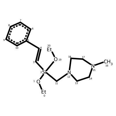 CCO[Si](C=Cc1ccccc1)(CN1CCN(C)CC1)OCC